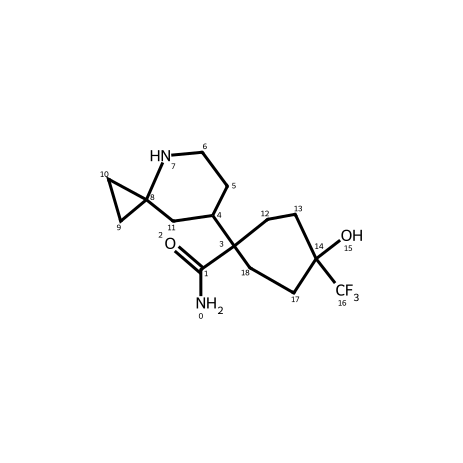 NC(=O)C1(C2CCNC3(CC3)C2)CCC(O)(C(F)(F)F)CC1